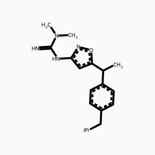 CC(C)Cc1ccc(C(C)c2cc(NC(=N)N(C)C)no2)cc1